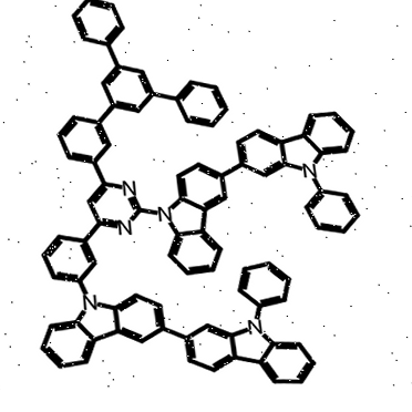 c1ccc(-c2cc(-c3ccccc3)cc(-c3cccc(-c4cc(-c5cccc(-n6c7ccccc7c7cc(-c8ccc9c%10ccccc%10n(-c%10ccccc%10)c9c8)ccc76)c5)nc(-n5c6ccccc6c6cc(-c7ccc8c9ccccc9n(-c9ccccc9)c8c7)ccc65)n4)c3)c2)cc1